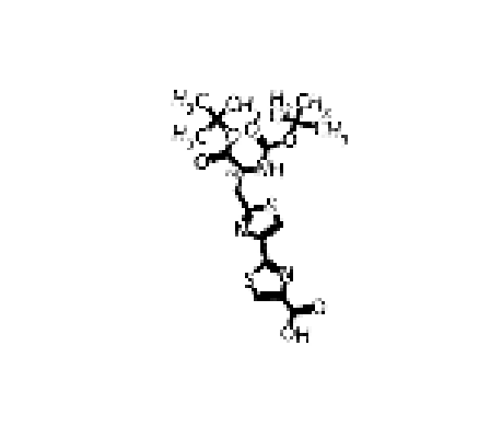 CC(C)(C)OC(=O)N[C@@H](Cc1nc(-c2nc(C(=O)O)cs2)cs1)C(=O)OC(C)(C)C